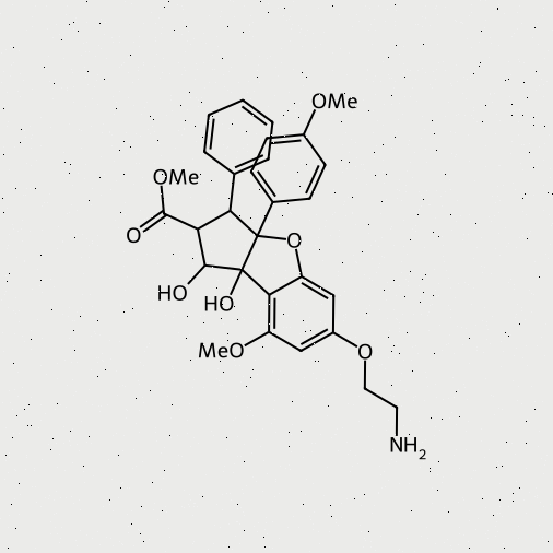 COC(=O)C1C(O)C2(O)c3c(OC)cc(OCCN)cc3OC2(c2ccc(OC)cc2)C1c1ccccc1